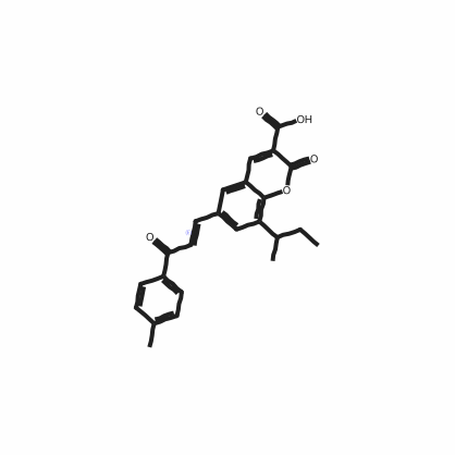 CCC(C)c1cc(/C=C/C(=O)c2ccc(C)cc2)cc2cc(C(=O)O)c(=O)oc12